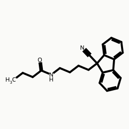 CCCC(=O)NCCCCC1(C#N)c2ccccc2-c2ccccc21